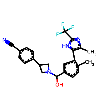 Cc1ccc(C(O)N2CC(c3ccc(C#N)cc3)C2)cc1-c1[nH]c(C(F)(F)F)nc1C